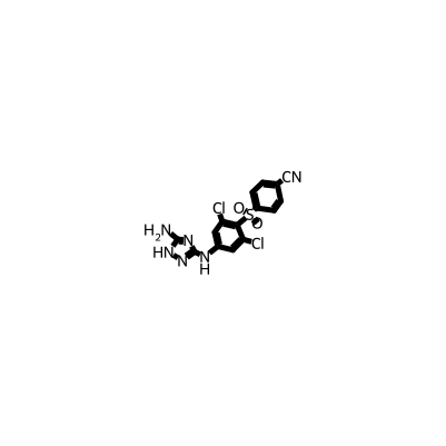 N#Cc1ccc(S(=O)(=O)c2c(Cl)cc(Nc3n[nH]c(N)n3)cc2Cl)cc1